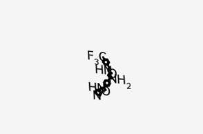 NC(CC(=O)NCc1ccc(C(F)(F)F)cc1)c1ccc(C(=O)Nc2ccncc2)cc1